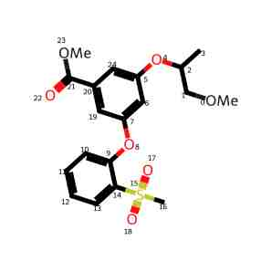 COCC(C)Oc1cc(Oc2ccccc2S(C)(=O)=O)cc(C(=O)OC)c1